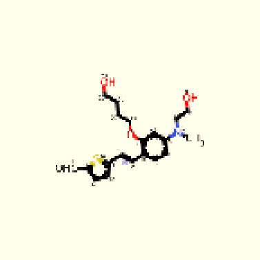 CN(CCO)c1ccc(/C=C/c2ccc(C=O)s2)c(OCCCCO)c1